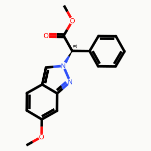 COC(=O)[C@@H](c1ccccc1)n1cc2ccc(OC)cc2n1